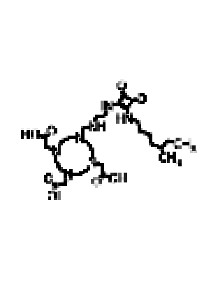 CCC(C)CCCCNc1c(NCCNCN2CCN(CC(=O)O)CCN(CC(=O)O)CCN(CC(=O)O)CC2)c(=O)c1=O